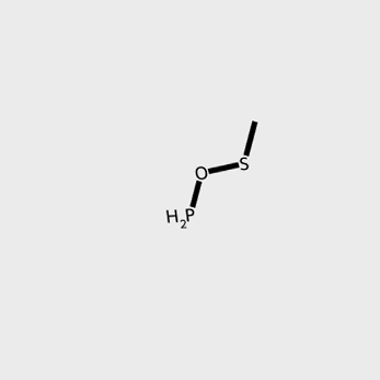 CSOP